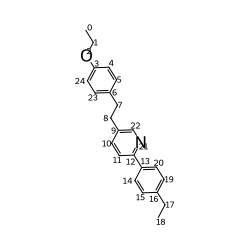 CCOc1ccc(CCc2ccc(-c3ccc(CC)cc3)nc2)cc1